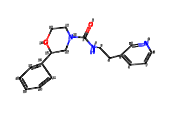 O=C(NCCc1cccnc1)N1CCOC(c2ccccc2)C1